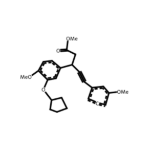 COC(=O)CC(C#Cc1cccc(OC)c1)c1ccc(OC)c(OC2CCCC2)c1